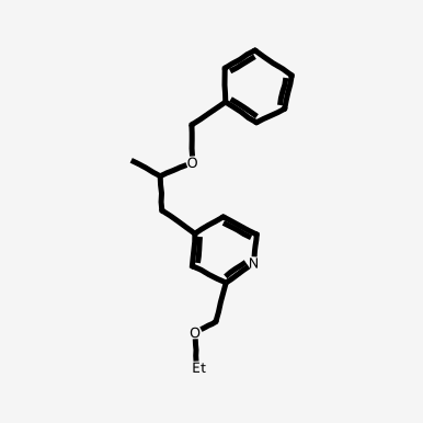 CCOCc1cc(CC(C)OCc2ccccc2)ccn1